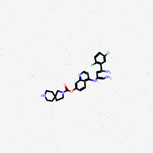 N/C=C(\C=C(/N)c1cc(Cl)ccc1F)Nc1ccnc2cc(OC(=O)N3CCC4(CCNCC4)C3)ccc12